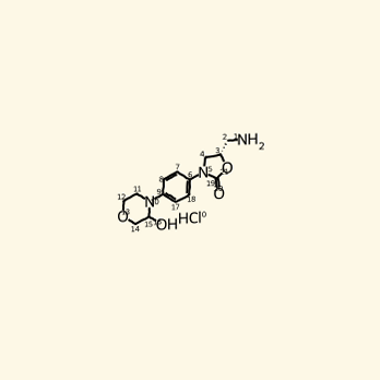 Cl.NC[C@H]1CN(c2ccc(N3CCOCC3O)cc2)C(=O)O1